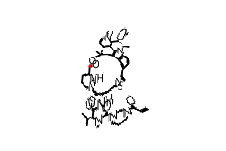 C=CC(=O)N1CCCN(C(=O)N(C)[C@H](C(=O)N[C@H]2Cc3nc(cs3)-c3ccc4c(c3)c(c(-c3cccnc3[C@H](C)OC)n4CC)CC(C)(C)COC[C@@]3(C=O)CCCN(N3)C2=O)C(C)C)C1